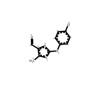 Cc1sc(Oc2ccc(Cl)cc2)nc1C=O